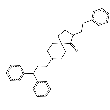 O=C1N(CCc2ccccc2)CCC12CCN(CCC(c1ccccc1)c1ccccc1)CC2